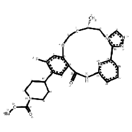 C[C@H]1CCOc2cc(F)c(C3CCN(C(=O)OC(C)(C)C)CC3)cc2C(=O)Nc2cccc(n2)-c2nncn2C1